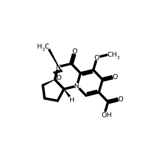 COc1c2n(cc(C(=O)O)c1=O)[C@@H]1CCC[C@@]13OC[C@H](C)N3C2=O